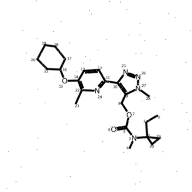 CCC1(N(C)C(=O)OCc2c(-c3ccc(OC4CCCCC4)c(C)n3)nnn2C)CC1